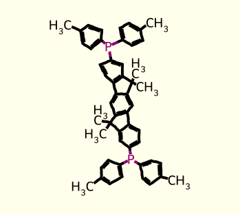 Cc1ccc(P(c2ccc(C)cc2)c2ccc3c(c2)C(C)(C)c2cc4c(cc2-3)C(C)(C)c2cc(P(c3ccc(C)cc3)c3ccc(C)cc3)ccc2-4)cc1